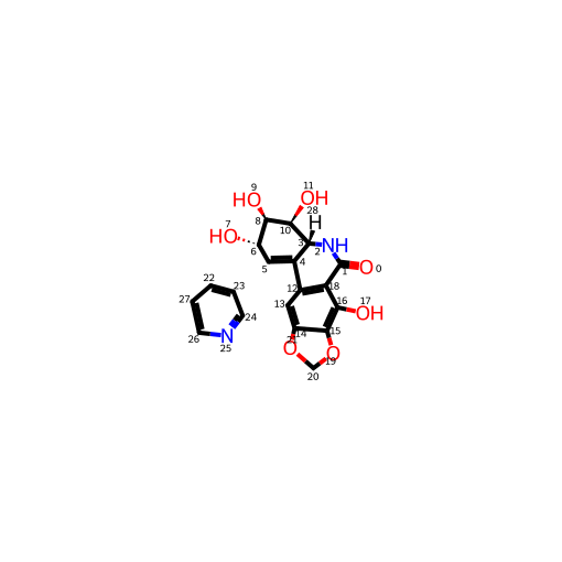 O=C1N[C@@H]2C(=C[C@H](O)[C@@H](O)[C@H]2O)c2cc3c(c(O)c21)OCO3.c1ccncc1